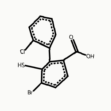 O=C(O)c1ccc(Br)c(S)c1-c1ccccc1Cl